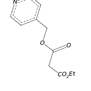 CCOC(=O)CC(=O)OCc1ccncc1